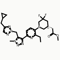 CCc1nc(-c2nnn(C)c2Cn2ncc(CC3CC3)n2)ccc1N1C[C@@H](CC(=O)OC)CC(F)(F)C1